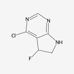 FC1CNc2ncnc(Cl)c21